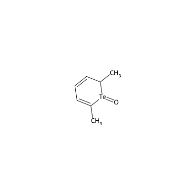 CC1=CC=CC(C)[Te]1=O